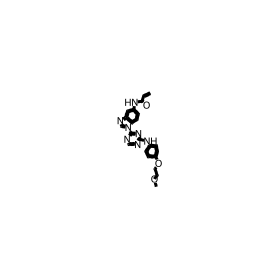 C=CC(=O)Nc1ccc2c(c1)ncn2-c1ncnc(Nc2ccc(OCCOC)cc2)n1